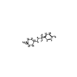 Cc1ccc(C(C)(C)CCC2CCN(C)CC2)cc1